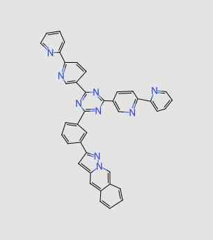 c1ccc(-c2ccc(-c3nc(-c4ccc(-c5ccccn5)nc4)nc(-c4cccc(-c5cc6cc7ccccc7cn6n5)c4)n3)cn2)nc1